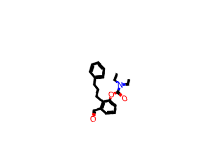 CCN(CC)C(=O)Oc1cccc(C=O)c1CCCc1ccccc1